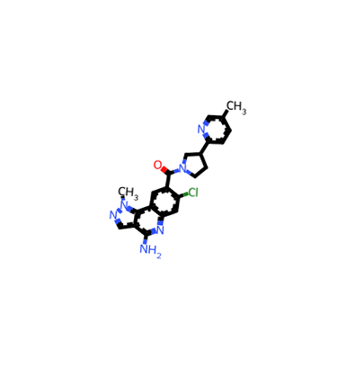 Cc1ccc(C2CCN(C(=O)c3cc4c(cc3Cl)nc(N)c3cnn(C)c34)C2)nc1